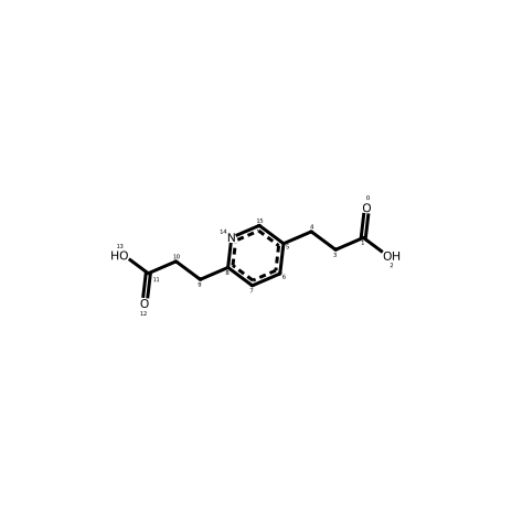 O=C(O)CCc1ccc(CCC(=O)O)nc1